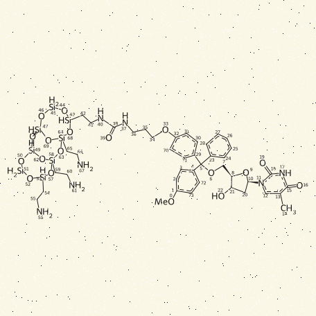 COc1ccc(C(OC[C@H]2O[C@@H](n3cc(C)c(=O)[nH]c3=O)CC2O)(c2ccccc2)c2ccc(OCCCNC(=O)NCC[SiH]3O[SiH2]O[SiH]4O[SiH]5O[SiH2]O[SiH](CCN)O[Si](CCN)(O5)O[Si](CCN)(O3)O4)cc2)cc1